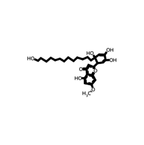 COc1cc(O)c2c(=O)cc(C3C=C(O)C(O)=CC3(O)CCCCCCCCCCCCCO)oc2c1